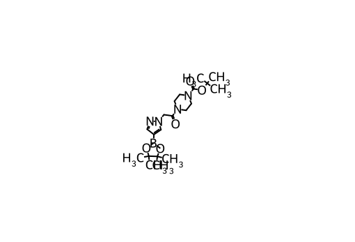 CC(C)(C)OC(=O)N1CCN(C(=O)Cn2cc(B3OC(C)(C)C(C)(C)O3)cn2)CC1